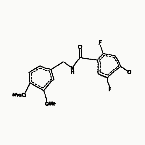 COc1ccc(CNC(=O)c2cc(F)c(Cl)cc2F)cc1OC